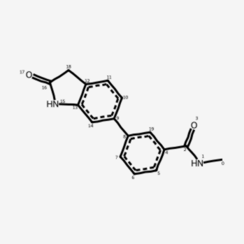 CNC(=O)c1cccc(-c2ccc3c(c2)NC(=O)C3)c1